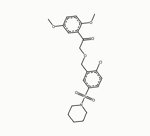 COc1ccc(OC)c(C(=O)COCc2cc(S(=O)(=O)N3CCCCC3)ccc2Cl)c1